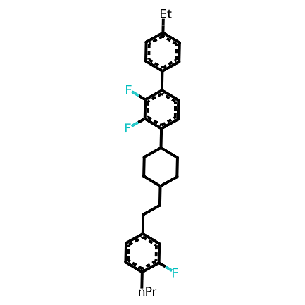 CCCc1ccc(CCC2CCC(c3ccc(-c4ccc(CC)cc4)c(F)c3F)CC2)cc1F